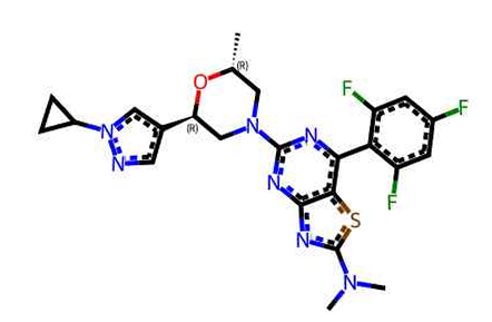 C[C@@H]1CN(c2nc(-c3c(F)cc(F)cc3F)c3sc(N(C)C)nc3n2)C[C@@H](c2cnn(C3CC3)c2)O1